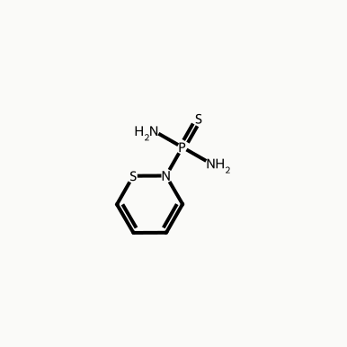 NP(N)(=S)N1C=CC=CS1